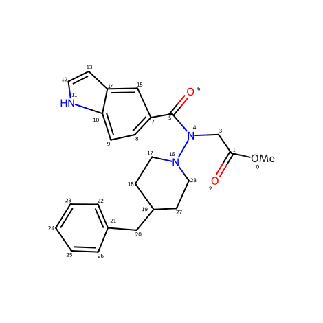 COC(=O)CN(C(=O)c1ccc2[nH]ccc2c1)N1CCC(Cc2ccccc2)CC1